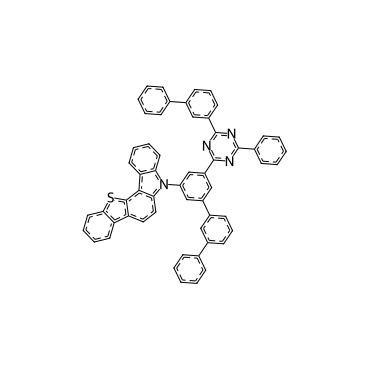 c1ccc(-c2cccc(-c3cc(-c4nc(-c5ccccc5)nc(-c5cccc(-c6ccccc6)c5)n4)cc(-n4c5ccccc5c5c6sc7ccccc7c6ccc54)c3)c2)cc1